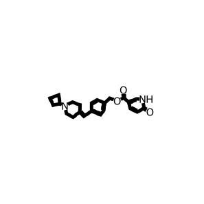 O=C(OCc1ccc(C=C2CCN(C3CCC3)CC2)cc1)c1ccc(=O)[nH]c1